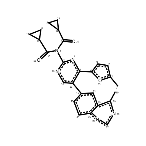 Cc1ccc(-c2nc(N(C(=O)C3CC3)C(=O)C3CC3)ncc2-c2ccc3ncnc(C)c3c2)o1